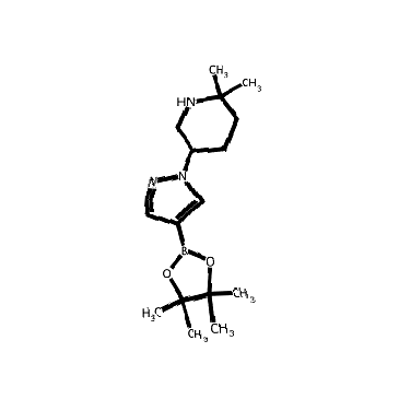 CC1(C)CCC(n2cc(B3OC(C)(C)C(C)(C)O3)cn2)CN1